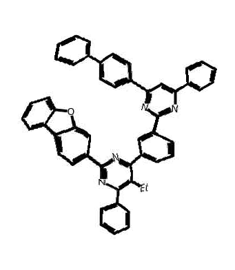 CCc1c(-c2ccccc2)nc(-c2ccc3c(c2)oc2ccccc23)nc1-c1cccc(-c2nc(-c3ccccc3)cc(-c3ccc(-c4ccccc4)cc3)n2)c1